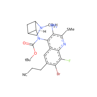 CSc1nc2c(F)c(Br)c(CCC#N)cc2c(N(C(=O)OC(C)(C)C)[C@H]2C3CC2N(C(=O)O)C3)c1N